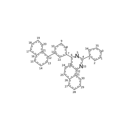 c1ccc(-c2nc(-c3cccc(-c4cccc5ccccc45)c3)c3ccc4ccccc4c3n2)cc1